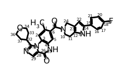 Cc1cc2c(cc1C(=O)N1CCc3[nH]c(-c4ccc(F)cc4)cc3C1)[nH]c(=O)c1cnc(C3CCOCC3)n12